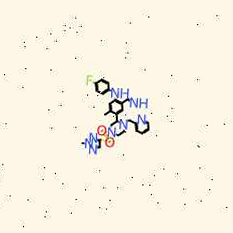 Cc1cc(Nc2ccc(F)cc2)c(C=N)cc1C1CN(S(=O)(=O)c2cnn(C)n2)CCN1Cc1ccccn1